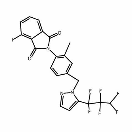 Cc1cc(Cn2nccc2C(F)(F)C(F)(F)C(F)F)ccc1N1C(=O)c2cccc(I)c2C1=O